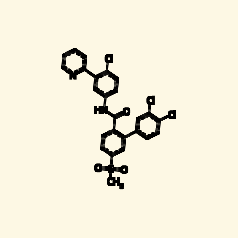 CS(=O)(=O)c1ccc(C(=O)Nc2ccc(Cl)c(-c3ccccn3)c2)c(-c2ccc(Cl)c(Cl)c2)c1